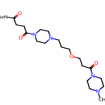 CNC(=O)CCC(=O)N1CCN(CCCOCCC(=O)N2CCN(C)CC2)CC1